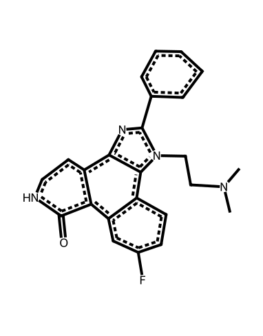 CN(C)CCn1c(-c2ccccc2)nc2c3cc[nH]c(=O)c3c3cc(F)ccc3c21